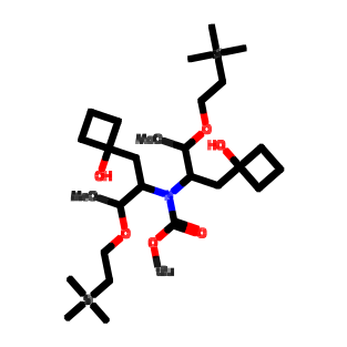 COC(OCC[Si](C)(C)C)C(CC1(O)CCC1)N(C(=O)OC(C)(C)C)C(CC1(O)CCC1)C(OC)OCC[Si](C)(C)C